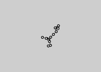 c1ccc(-c2ccc(N(c3ccc(-c4ccc(-c5cccc(-c6cccc7c6oc6ccccc67)c5)cc4)cc3)c3ccc(-c4cccc5ccccc45)cc3)cc2)cc1